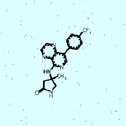 CC1(Nc2ncc(-c3ccc(C(F)(F)F)cc3)c3nccnc23)CNC(=O)C1